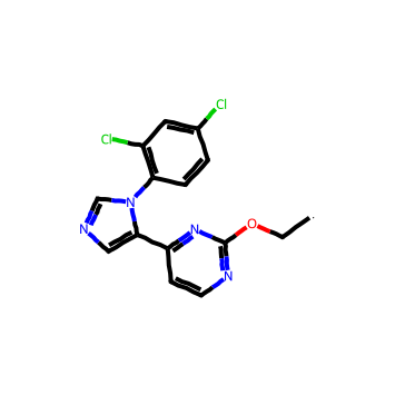 [CH2]COc1nccc(-c2cncn2-c2ccc(Cl)cc2Cl)n1